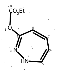 CCOC(=O)OC1=NNC=CC=C1